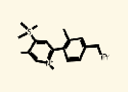 Cc1cc(CC(C)C)ccc1-c1cc([Si](C)(C)C)c(C)c[n+]1C